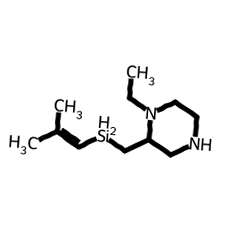 CCN1CCNCC1C[SiH2]C=C(C)C